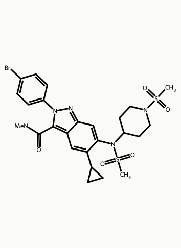 CNC(=O)c1c2cc(C3CC3)c(N(C3CCN(S(C)(=O)=O)CC3)S(C)(=O)=O)cc2nn1-c1ccc(Br)cc1